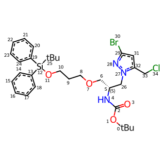 CC(C)(C)OC(=O)N[C@H](COCCCO[Si](c1ccccc1)(c1ccccc1)C(C)(C)C)Cn1nc(Br)cc1CCl